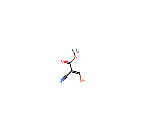 COC(=O)C(C#N)=CO